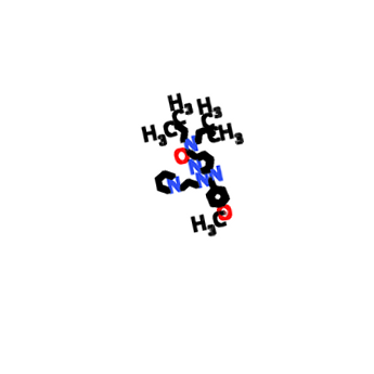 COc1ccc(-c2nc3ccc(C(=O)N(CCC(C)C)CCC(C)C)nc3n2CCCN2CCCCC2)cc1